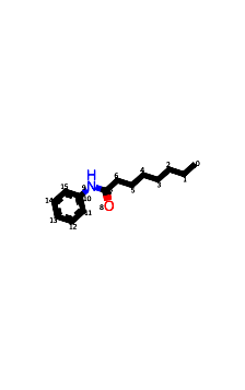 [CH2]CCCCCCC(=O)Nc1ccccc1